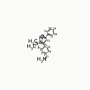 CC1(C)Cc2cc(CN)ccc2C(=CC(=O)c2ccccc2)N1